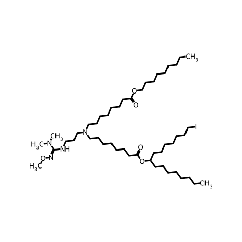 CCCCCCCCCOC(=O)CCCCCCCN(CCCCCCCC(=O)OC(CCCCCCCC)CCCCCCCI)CCCN/C(=N/OC)N(C)C